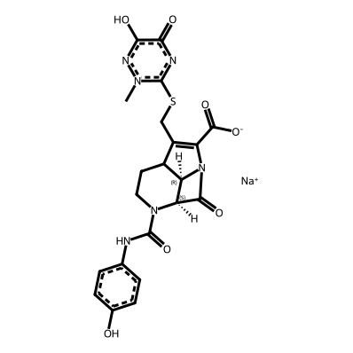 Cn1nc(O)c(=O)nc1SCC1=C(C(=O)[O-])N2C(=O)[C@@H]3[C@H]2C1CCN3C(=O)Nc1ccc(O)cc1.[Na+]